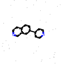 c1cc(-c2ccc3ccncc3c2)ccn1